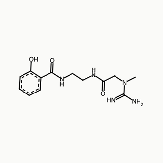 CN(CC(=O)NCCNC(=O)c1ccccc1O)C(=N)N